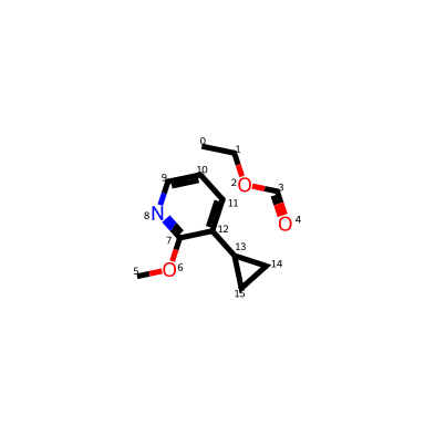 CCOC=O.COc1ncccc1C1CC1